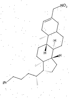 CC(C)CCC[C@@H](C)[C@H]1CC[C@H]2[C@@H]3CCC4CC(C[N+](=O)[O-])=CC[C@]4(C)[C@H]3CC[C@]12C